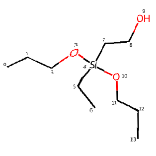 CCCO[Si](CC)(CCO)OCCC